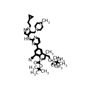 CN1CCN(Cc2c(Nc3nccc(-c4cc(C#N)c5c(c4)[C@@](C)(CO[Si](C)(C)C(C)(C)C)CN5C(=O)OC(C)(C)C)n3)cnn2CCC2CC2)CC1